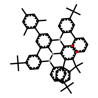 Cc1cc(C)c(-c2cc3c4c(c2)N(c2ccc(C(C)(C)C)cc2-c2ccccc2)c2ccc5c(c2B4N(c2ccc(C(C)(C)C)cc2)c2ccc(C(C)(C)C)cc2-3)-c2ccccc2C5(C)C)c(C)c1